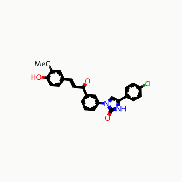 COc1cc(C=CC(=O)c2cccc(-n3cc(-c4ccc(Cl)cc4)[nH]c3=O)c2)ccc1O